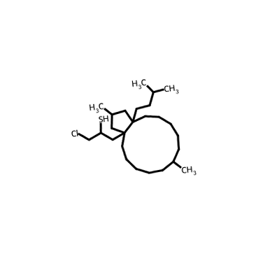 CC(C)CCC12CCCCCC(C)CCCCCC1(CC(S)CCl)CC(C)C2